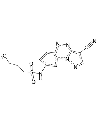 CCCCS(=O)(=O)Nc1ccc2nnc3c(C#N)cnn3c2c1